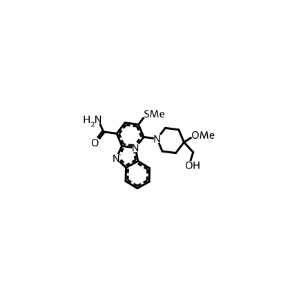 COC1(CO)CCN(c2c(SC)cc(C(N)=O)c3nc4ccccc4n23)CC1